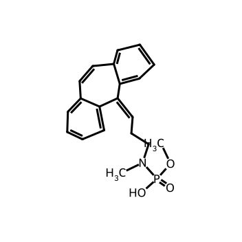 COP(=O)(O)N(C)CCC=C1c2ccccc2C=Cc2ccccc21